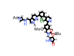 COc1cc(-c2nccc(-c3cccc(-c4ccc5c(CNC6CN(C(C)=O)C6)cn(C)c5n4)c3Cl)c2Cl)ccc1CN(C[C@@H]1CCC(=O)N1)C(=O)OC(C)(C)C